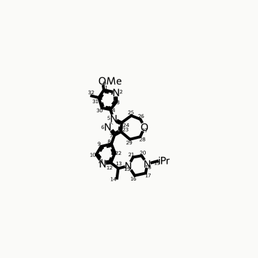 COc1ncc(-n2nc(-c3ccnc(C(C)N4CCN(C(C)C)CC4)c3)c3c2CCOCC3)cc1C